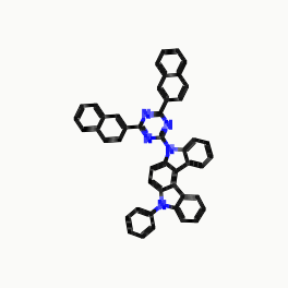 c1ccc(-n2c3ccccc3c3c4c5ccccc5n(-c5nc(-c6ccc7ccccc7c6)nc(-c6ccc7ccccc7c6)n5)c4ccc32)cc1